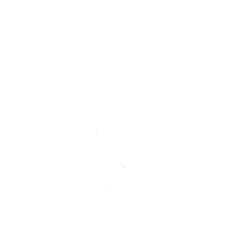 CC(=O)c1c(C)n(CCCN2CCC(CCOc3ccc(Cl)cc3)CC2)c2c(Br)cccc12